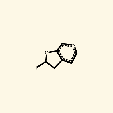 IC1Cc2ccncc2O1